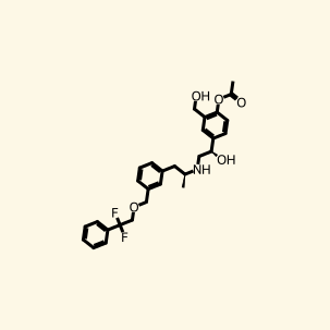 CC(=O)Oc1ccc([C@@H](O)CN[C@@H](C)Cc2cccc(COCC(F)(F)c3ccccc3)c2)cc1CO